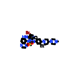 CCc1cc(Nc2ncc(Br)c(Nc3ccc4nccnc4c3NS(C)(=O)=O)n2)c(OC)cc1N1CCC(N2CCN(C)CC2)CC1